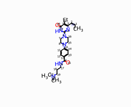 C/C=C\c1nc(N2CCN(c3ccc(C(=O)NCCCN(C)C)cc3)CC2)[nH]c(=O)c1CC